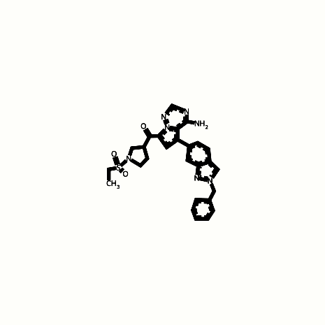 CCS(=O)(=O)N1CCC(C(=O)c2cc(-c3ccc4cn(Cc5ccccc5)nc4c3)c3c(N)ncnn23)C1